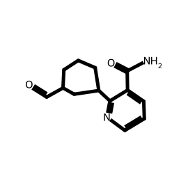 NC(=O)c1cccnc1C1CCCC(C=O)C1